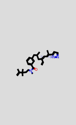 C=C/C(=C\C=C(/C)c1ccn[nH]1)CC(C)Cc1cccc(C(=O)N(C)CCC(C)(C)C(=C)C)c1